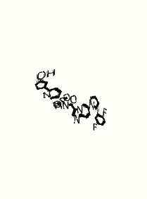 O=C(NS(=O)(=O)c1ccc(C2CC[C@H](O)C2)nc1)c1cnc2ccc(N3CCC[C@@H]3c3cc(F)ccc3F)cn12